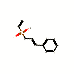 C=CS(=O)(=O)CC=Cc1ccccc1